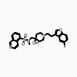 CN(CC1(O)CCN(CCc2coc3ccc(F)cc23)CC1)S(=O)(=O)c1cccc2cnccc12